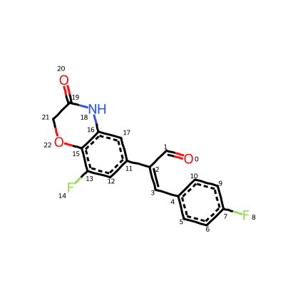 O=C/C(=C\c1ccc(F)cc1)c1cc(F)c2c(c1)NC(=O)CO2